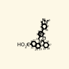 Cn1ncc2cc(C34CCC(CN(C(=O)C5CCCCC5)c5cccc6c5CCC(C(=O)O)=C6)(CC3)CO4)ccc21